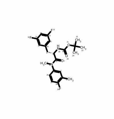 Cc1cc(N(C)C(=O)[C@H](Cc2cc(F)cc(F)c2)NC(=O)OC(C)(C)C)ccc1F